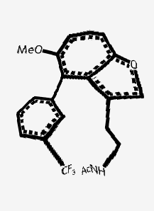 COc1ccc2occ(CCNC(C)=O)c2c1-c1cccc(C(F)(F)F)c1